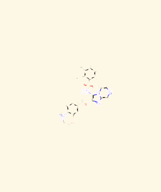 Cc1c(Cl)cccc1S(=O)(=O)Nc1c(OCc2ccc3c(c2)OCCN3C)nc2cnccn12